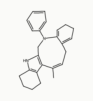 C/C1=C/CC2=CCCC=C2N(c2ccccc2)Cc2[nH]c3c(c21)CCCC3